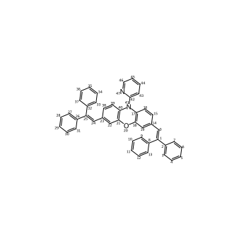 C(=C(c1ccccc1)c1ccccc1)c1ccc2c(c1)Oc1cc(C=C(c3ccccc3)c3ccccc3)ccc1N2c1ccccn1